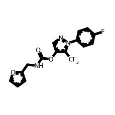 O=C(NCc1ccco1)Oc1cnn(-c2ccc(F)cc2)c1C(F)(F)F